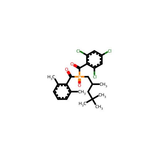 Cc1cccc(C)c1C(=O)P(=O)(CC(C)CC(C)(C)C)C(=O)c1c(Cl)cc(Cl)cc1Cl